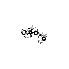 COCc1c(-c2ccc(NC(=O)Nc3cc(C(F)(F)F)ccc3Cl)c(F)c2)c2c(N)ncnn2c1CN1CCCOCC1